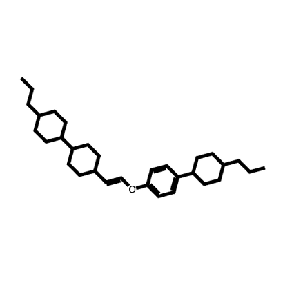 CCCC1CCC(c2ccc(OC=CC3CCC(C4CCC(CCC)CC4)CC3)cc2)CC1